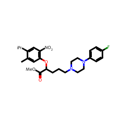 COC(=O)C(CCCN1CCN(c2ccc(F)cc2)CC1)Oc1cc(C)c(C(C)C)cc1[N+](=O)[O-]